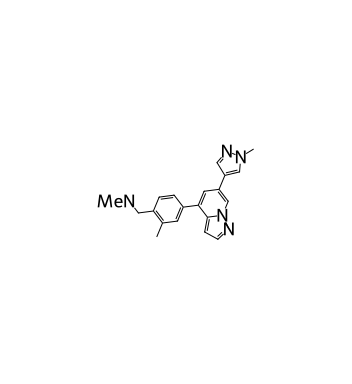 CNCc1ccc(-c2cc(-c3cnn(C)c3)cn3nccc23)cc1C